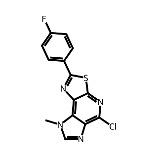 Cn1cnc2c(Cl)nc3sc(-c4ccc(F)cc4)nc3c21